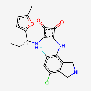 CC[C@@H](Nc1c(Nc2c(F)cc(Cl)c3c2CNC3)c(=O)c1=O)c1ccc(C)o1